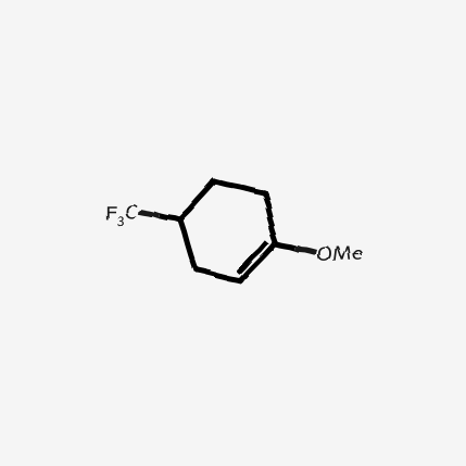 COC1=CCC(C(F)(F)F)CC1